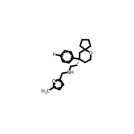 Cc1ccc(CNCC[C@@]2(c3ccc(F)cc3)CCOC3(CCCC3)C2)o1